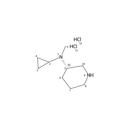 CN(C1CC1)[C@H]1CCCNC1.Cl.Cl